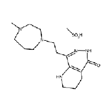 CN1CCCN(CCc2n[nH]c(=O)c3c2NCCC3)CC1.CS(=O)(=O)O